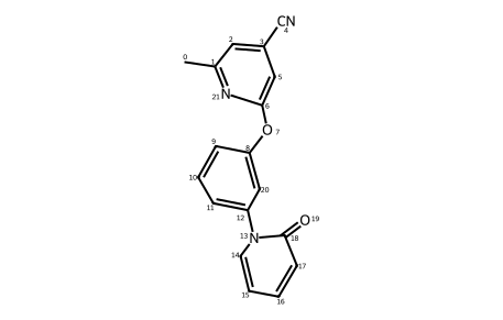 Cc1cc(C#N)cc(Oc2cccc(-n3ccccc3=O)c2)n1